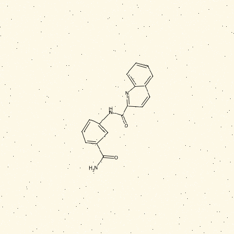 NC(=O)c1cccc(NC(=O)c2ccc3ccccc3n2)c1